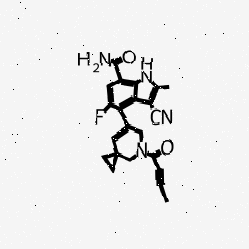 CC#CC(=O)N1CC(c2c(F)cc(C(N)=O)c3[nH]c(C)c(C#N)c23)=CC2(CC2)C1